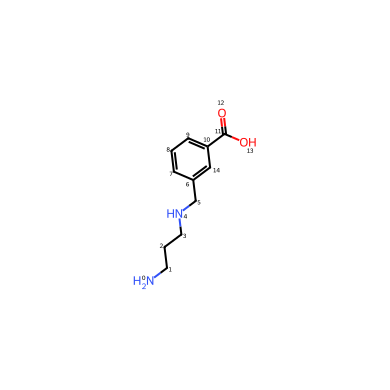 NCCCNCc1cccc(C(=O)O)c1